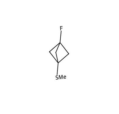 CSC12CC(F)(C1)C2